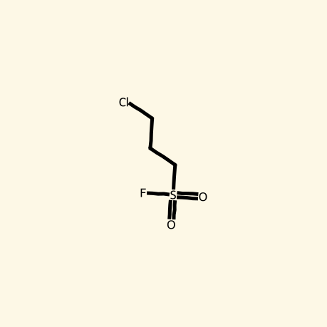 O=S(=O)(F)CCCCl